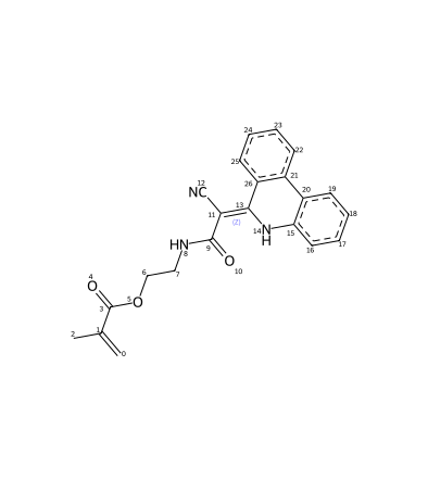 C=C(C)C(=O)OCCNC(=O)/C(C#N)=C1\Nc2ccccc2-c2ccccc21